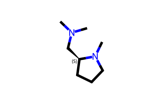 CN(C)C[C@@H]1CCCN1C